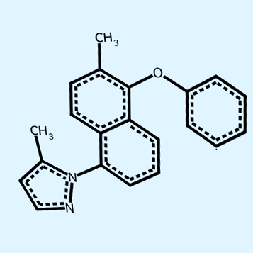 Cc1ccc2c(-n3nccc3C)cccc2c1Oc1c[c]ccc1